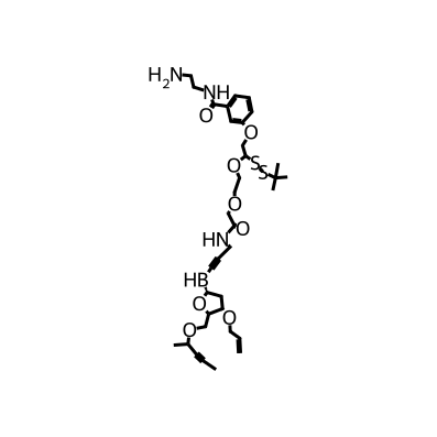 C=CCO[C@@H]1C[C@H](BC#CCNC(=O)COCCOC(COc2cccc(C(=O)NCCN)c2)SSC(C)(C)C)OC1COC(C)C#CC